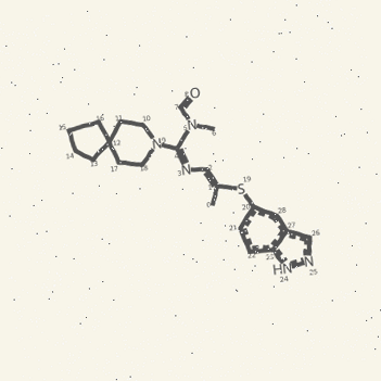 C/C(=C\N=C(/N(C)C=O)N1CCC2(CCCC2)CC1)Sc1ccc2[nH]ncc2c1